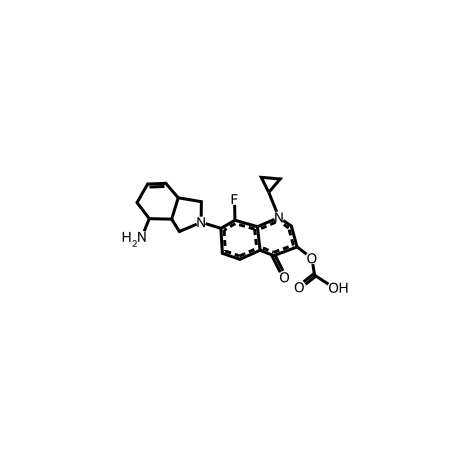 NC1CC=CC2CN(c3ccc4c(=O)c(OC(=O)O)cn(C5CC5)c4c3F)CC12